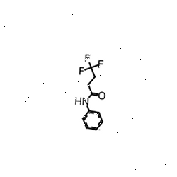 O=C(CCC(F)(F)F)Nc1cc[c]cc1